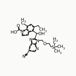 CCc1cc(C)c2c(ccn2C(=O)O)c1C(O)c1nc2cc(C#N)cnc2n1COCC[Si](C)(C)C